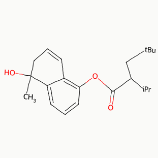 CC(C)C(CC(C)(C)C)C(=O)Oc1cccc2c1C=CCC2(C)O